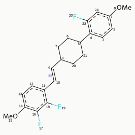 COc1ccc(C2CCC(/C=C/c3ccc(OC)c(F)c3F)CC2)c(F)c1